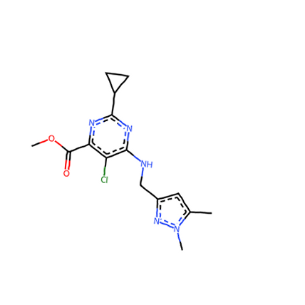 COC(=O)c1nc(C2CC2)nc(NCc2cc(C)n(C)n2)c1Cl